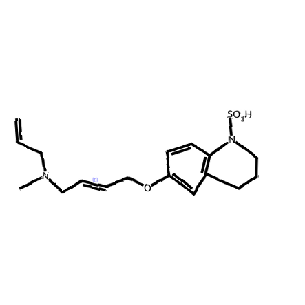 C=CCN(C)C/C=C/COc1ccc2c(c1)CCCN2S(=O)(=O)O